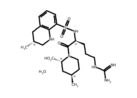 C[C@@H]1CCN(C(=O)[C@H](CCCNC(=N)N)NS(=O)(=O)c2cccc3c2NC[C@H](C)C3)[C@@H](C(=O)O)C1.O